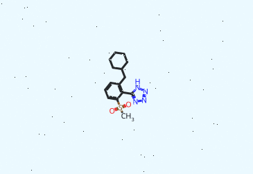 CS(=O)(=O)c1cccc(CC2CCCCC2)c1-c1nnn[nH]1